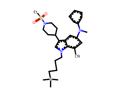 CCS(=O)(=O)N1CCC(c2cn(CCCC[Si](C)(C)C)c3c(C#N)cc(N(C)c4ccccc4)cc23)CC1